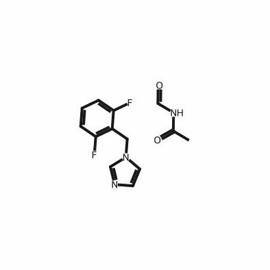 CC(=O)NC=O.Fc1cccc(F)c1Cn1ccnc1